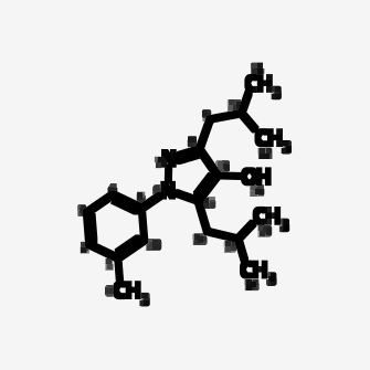 Cc1cccc(-n2nc(CC(C)C)c(O)c2CC(C)C)c1